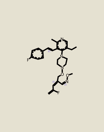 C=C(F)/C=C(\C=N/OC)CON1CCN(c2c(CC)cnc(C)c2/C=C/c2ccc(F)cc2)CC1